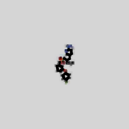 Nc1ccc(CC(CP(=O)(O)Cc2cccc(Oc3ccc(F)cc3)c2)C(=O)O)cn1